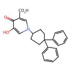 O=C(O)c1cn(C2CCC(c3ccccc3)(c3ccccc3)CC2)cc(O)c1=O